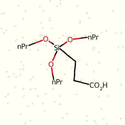 CCCO[Si](CCC(=O)O)(OCCC)OCCC